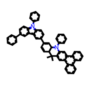 CC1(C)c2cc3c4ccccc4c4ccccc4c3cc2N(c2ccccc2)C2C=C(c3ccc4c(c3)c3cc(-c5ccccc5)ccc3n4-c3ccccc3)C=CC21